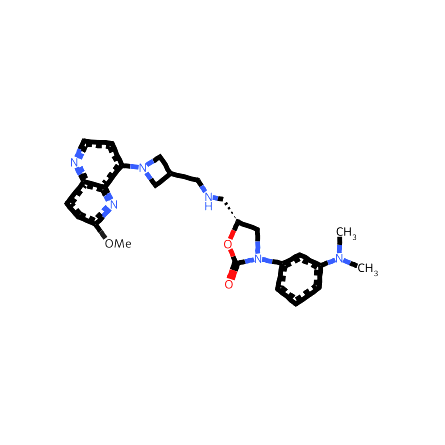 COc1ccc2nccc(N3CC(CNC[C@@H]4CN(c5cccc(N(C)C)c5)C(=O)O4)C3)c2n1